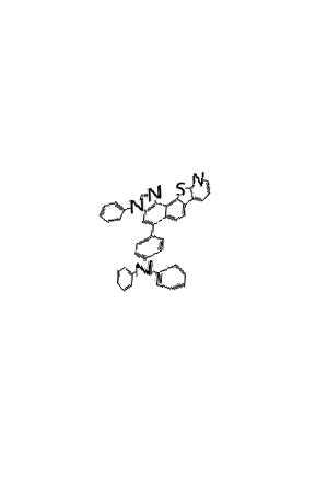 c1ccc(N(c2ccccc2)c2ccc(-c3cc4c(ncn4-c4ccccc4)c4c3ccc3c5cccnc5sc34)cc2)cc1